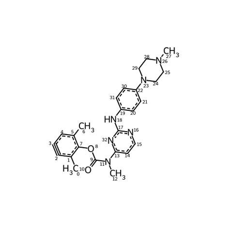 Cc1c#ccc(C)c1OC(=O)N(C)c1ccnc(Nc2ccc(N3CCN(C)CC3)cc2)n1